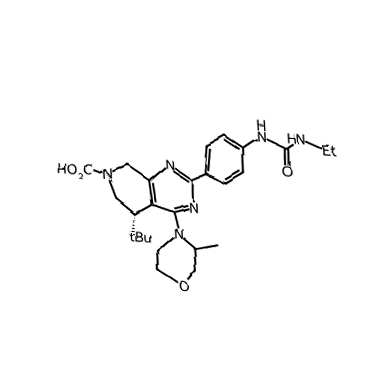 CCNC(=O)Nc1ccc(-c2nc3c(c(N4CCOCC4C)n2)[C@H](C(C)(C)C)CN(C(=O)O)C3)cc1